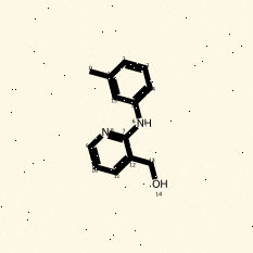 Cc1cccc(Nc2ncccc2CO)c1